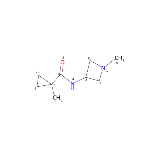 CN1CC(NC(=O)C2(C)CC2)C1